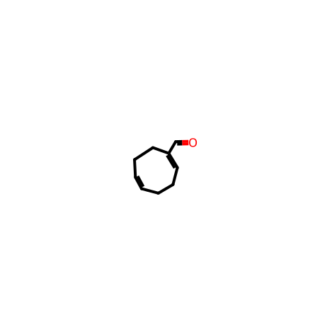 O=C/C1=C/CC/C=C\CC1